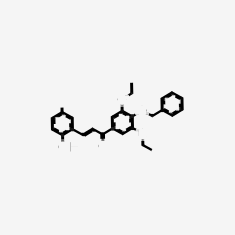 CCOc1cc(C(=O)C=Cc2cc(I)ccc2O)cc(OCC)c1OCc1ccccc1